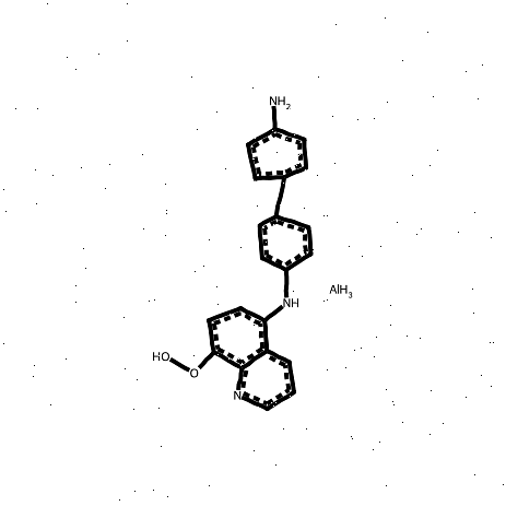 Nc1ccc(-c2ccc(Nc3ccc(OO)c4ncccc34)cc2)cc1.[AlH3]